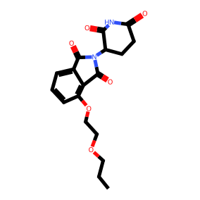 CCCOCCOc1cccc2c1C(=O)N(C1CCC(=O)NC1=O)C2=O